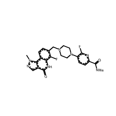 CNC(=O)c1ccc(N2CCN(Cc3ccc4c([nH]c(=O)c5cnn(C)c54)c3F)CC2)c(F)n1